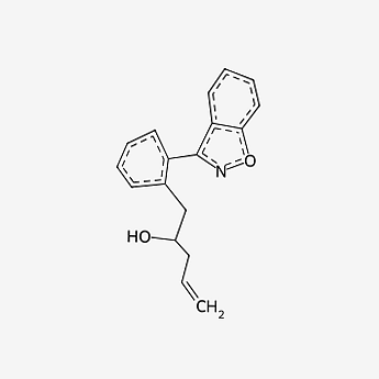 C=CCC(O)Cc1ccccc1-c1noc2ccccc12